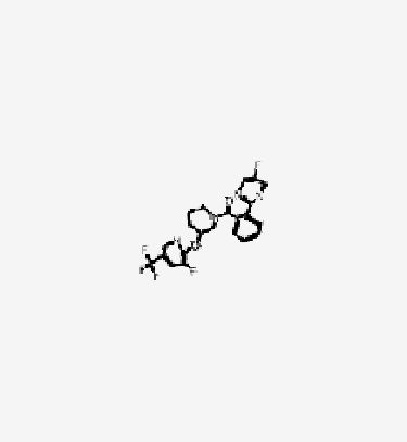 O=C(c1ccccc1-c1ncc(F)cn1)N1CCCC(Oc2ncc(C(F)(F)F)cc2F)C1